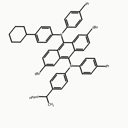 CCCCCC(C)c1ccc(N(c2ccc(C(C)C)cc2)c2c3ccc(C(C)(C)C)cc3c(N(c3ccc(C(C)C)cc3)c3ccc(C4CCCCC4)cc3)c3ccc(C(C)(C)C)cc23)cc1